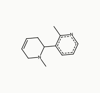 Cc1ncccc1C1CC=CCN1C